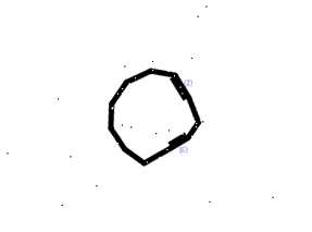 [CH]1/C=C\CCCCCC/C=C/1